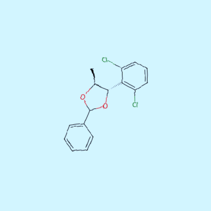 [CH2][C@@H]1OC(c2ccccc2)O[C@H]1c1c(Cl)cccc1Cl